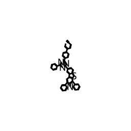 C#C/C=C\C(=C/C)c1ccc(-c2nc(-c3ccccc3)nc(-c3ccc4sc5c(cc6c7ccccc7n7c8ccccc8c5c67)c4c3)n2)cc1